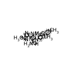 CNc1nc(Nc2ccc(C(C)(C)N3CCN(C)CC3)cc2)c(C(N)=O)nc1-c1cncc2c1ncn2C